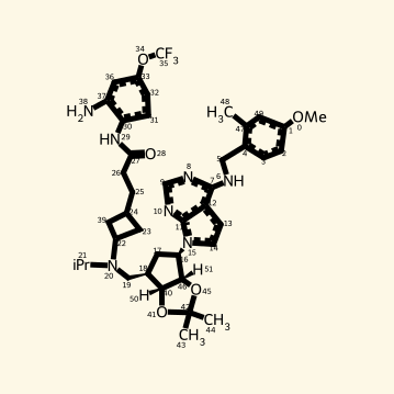 COc1ccc(CNc2ncnc3c2ccn3[C@@H]2C[C@H](CN(C(C)C)C3CC(CCC(=O)Nc4ccc(OC(F)(F)F)cc4N)C3)[C@H]3OC(C)(C)O[C@H]32)c(C)c1